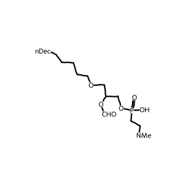 CCCCCCCCCCCCCCCOCC(COP(=O)(O)CCNC)OC=O